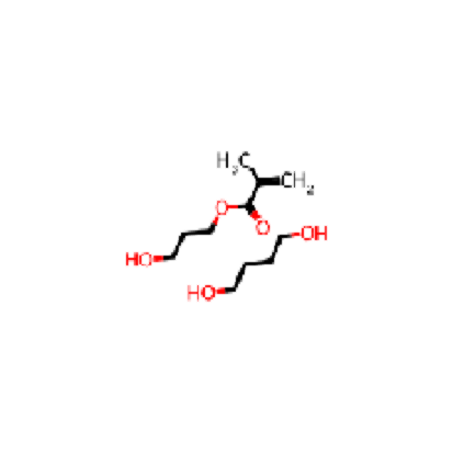 C=C(C)C(=O)OCCCO.OCCCCO